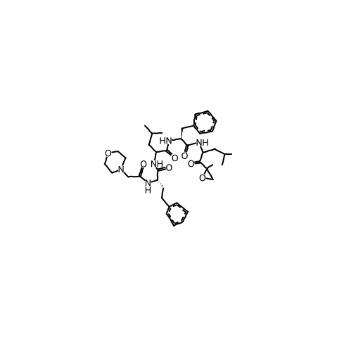 CC(C)CC(NC(=O)[C@H](CCc1ccccc1)NC(=O)CN1CCOCC1)C(=O)N[C@@H](Cc1ccccc1)C(=O)NC(CC(C)C)C(=O)C1(C)CO1